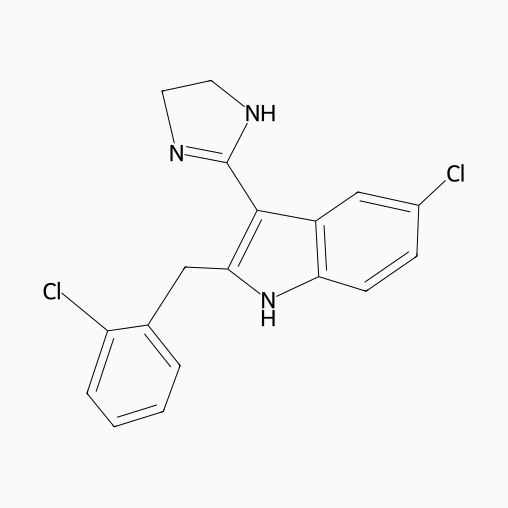 Clc1ccc2[nH]c(Cc3ccccc3Cl)c(C3=NCCN3)c2c1